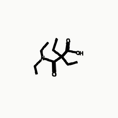 CCN(CC)C(=O)C(CC)(CC)C(=O)O